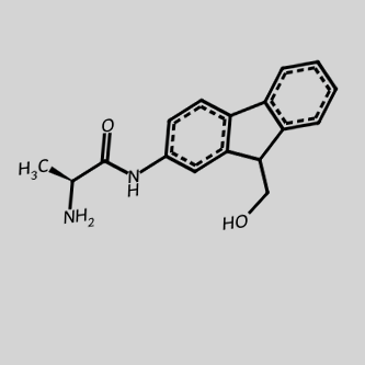 C[C@H](N)C(=O)Nc1ccc2c(c1)C(CO)c1ccccc1-2